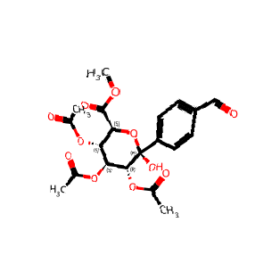 COC(=O)[C@H]1O[C@](O)(c2ccc(C=O)cc2)[C@H](OC(C)=O)[C@@H](OC(C)=O)[C@@H]1OC(C)=O